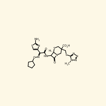 Cn1nnnc1SCC1(C(=O)O)CS[C@@H]2C(NC(=O)C(=NOC3CCCC3)c3csc(N)n3)C(=O)N2C1